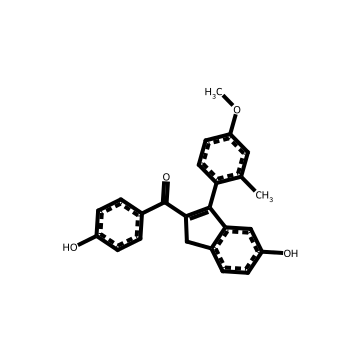 COc1ccc(C2=C(C(=O)c3ccc(O)cc3)Cc3ccc(O)cc32)c(C)c1